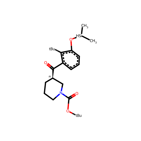 C[SiH](C)Oc1cccc(C(=O)[C@@H]2CCCN(C(=O)OC(C)(C)C)C2)c1C(C)(C)C